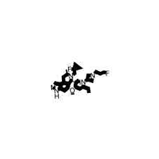 C=C(/C(=C\C(=C/C)NC1CN(CCCF)C1)OC)[C@@H]1c2ccc3[nH]ncc3c2C[C@@H](C)N1CC1(F)CC1